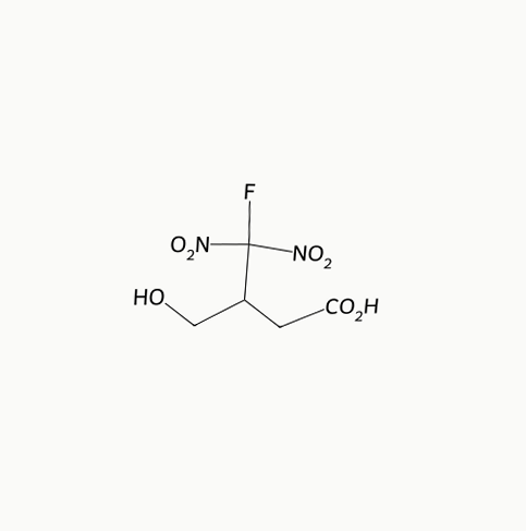 O=C(O)CC(CO)C(F)([N+](=O)[O-])[N+](=O)[O-]